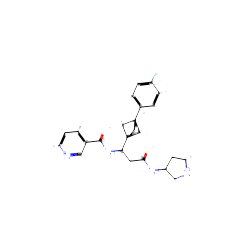 O=C(CC(NC(=O)c1cccnc1)C12CC(c3ccc(F)cc3)(C1)C2)NC1CCNC1